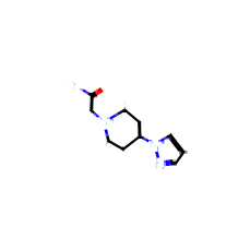 NC(=O)CN1CCC(n2cccn2)CC1